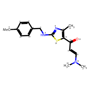 COc1ccc(CNc2nc(C)c(C(=O)C=CN(C)C)s2)cc1